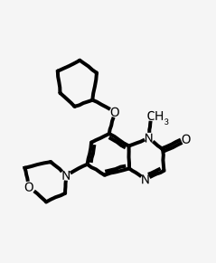 Cn1c(=O)cnc2cc(N3CCOCC3)cc(OC3CCCCC3)c21